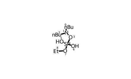 CCCCN(CCCC)O[Si](O)(O)OCC